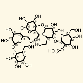 O=S(=O)(O)O[C@H]1[C@@H](O[C@H]2[C@H](O)[C@@H](O)[C@@H](O[C@H]3[C@H](O)[C@@H](O)[C@@H](O[C@H]4[C@H](O)[C@@H](O)[C@@H](O[C@H]5[C@H](O)[C@@H](O)[C@@H](O)O[C@@H]5CO)O[C@@H]4CO)O[C@@H]3CO)O[C@@H]2CO)O[C@H](CO)[C@@H](O)[C@@H]1O